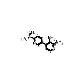 CN(C)c1ccc(-c2ccnc(N)c2N)cn1